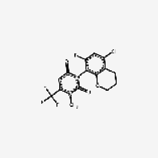 Cn1c(C(F)(F)F)cc(=O)n(-c2c(F)cc(Cl)c3c2OCCC3)c1=O